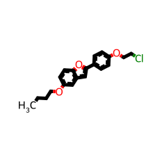 CCCCOc1ccc2oc(-c3ccc(OCCCl)cc3)cc2c1